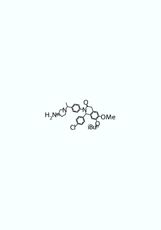 CC[C@@H](C)Oc1cc2c(cc1OC)CC(=O)N(c1ccc(C(C)N3CC[C@@H](N)C3)cc1)C2c1ccc(Cl)cc1